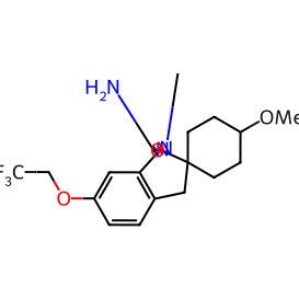 COC1CCC2(CC1)Cc1ccc(OCC(F)(F)F)cc1C21N=C(N)N(C)O1